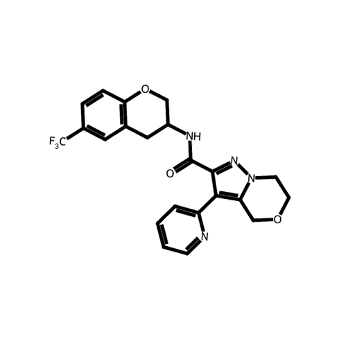 O=C(NC1COc2ccc(C(F)(F)F)cc2C1)c1nn2c(c1-c1ccccn1)COCC2